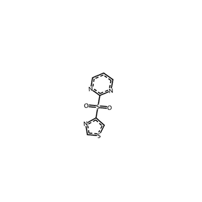 O=S(=O)(c1cscn1)c1ncccn1